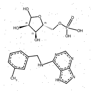 Cc1cccc(CNc2ncnc3nc[nH]c23)c1.O=P(O)(O)OC[C@H]1OC(O)[C@H](O)[C@@H]1O